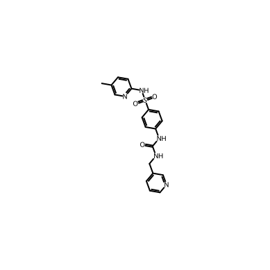 Cc1ccc(NS(=O)(=O)c2ccc(NC(=O)NCc3cccnc3)cc2)nc1